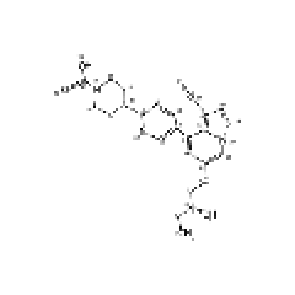 CC[C@H](O)COc1cc(-c2ccc(N3CCN(C(=O)O)CC3)nc2)c2c(C#N)cnn2c1